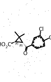 CC1(C)[C@H](C(=O)O)[C@H]1C(=O)c1ccc(Cl)c(Cl)c1